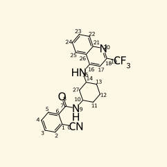 N#Cc1ccccc1C(=O)NC1CCCC(Nc2cc(C(F)(F)F)nc3ccccc23)C1